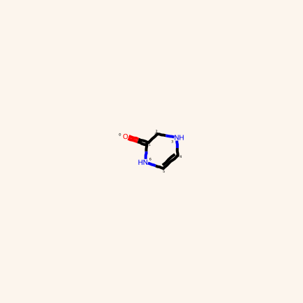 O=C1[C]NC=CN1